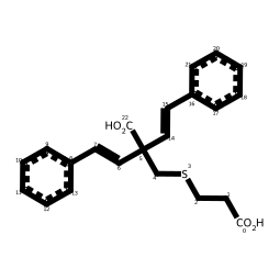 O=C(O)CCSCC(C=Cc1ccccc1)(C=Cc1ccccc1)C(=O)O